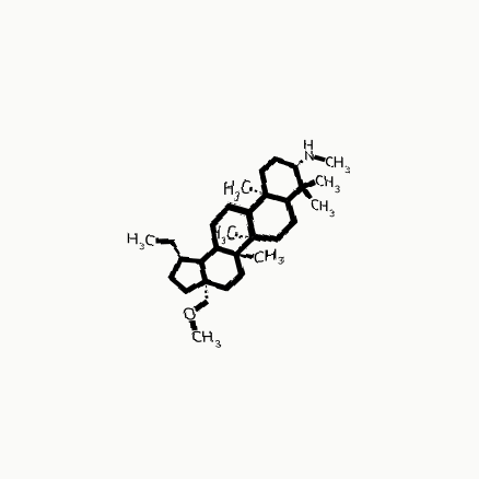 CC[C@@H]1CC[C@]2(COC)CC[C@]3(C)C(CCC4[C@@]5(C)CC[C@H](NC)C(C)(C)C5CC[C@]43C)C12